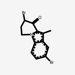 Cc1c2n(c3ccc(Br)cc13)CCC(Br)C2=O